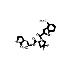 COc1cccc2[nH]c(C(=O)N3CC(F)(F)C[C@H]3C(=O)N[C@H](C#N)C[C@@H]3CCNC3=O)cc12